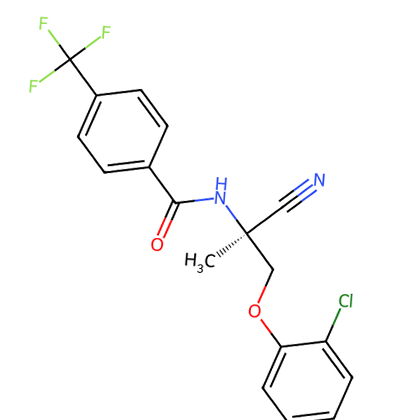 C[C@](C#N)(COc1ccccc1Cl)NC(=O)c1ccc(C(F)(F)F)cc1